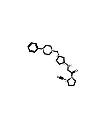 N#C[C@@H]1CCCN1C(=O)CN[C@H]1CC[C@@H](CN2CCN(c3ccccc3)CC2)C1